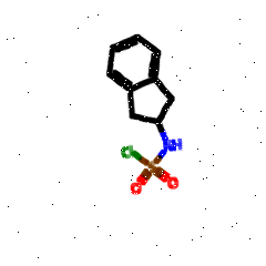 O=S(=O)(Cl)NC1Cc2ccccc2C1